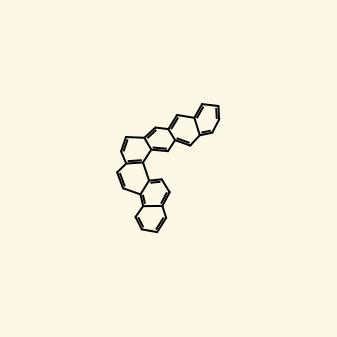 c1ccc2cc3cc4c(ccc5ccc6c7ccccc7ccc6c54)cc3cc2c1